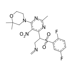 C=NCC(c1nc(C)nc(N2CCOC(C)(C)C2)c1[N+](=O)[O-])S(=O)(=O)c1cc(F)ccc1F